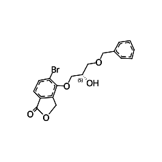 O=C1OCc2c1ccc(Br)c2OC[C@@H](O)COCc1ccccc1